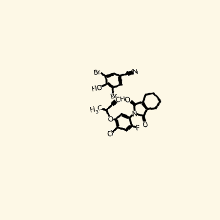 C#CC(C)Oc1cc(N2C(=O)C3=C(CCCC3)C2=O)c(F)cc1Cl.N#Cc1cc(Br)c(O)c(Br)c1